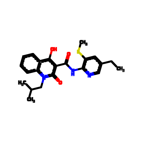 CCc1cnc(NC(=O)c2c(O)c3ccccc3n(CC(C)C)c2=O)c(SC)c1